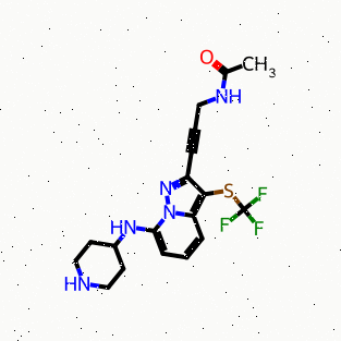 CC(=O)NCC#Cc1nn2c(NC3CCNCC3)cccc2c1SC(F)(F)F